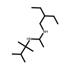 CCC(CC)CN[C](C)NC(C)(C)C(C)C